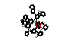 CC1(C)c2ccccc2Sc2ccc(N(c3ccc4c(c3)-c3ccccc3C43c4ccccc4Oc4cc(N(c5ccccc5)c5cc(-c6ccccc6)c6c(c5)oc5ccccc56)ccc43)c3cc(-c4ccc5ccccc5c4)c4oc5ccccc5c4c3)cc21